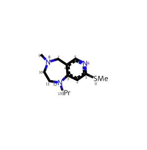 CSc1cc2c(cn1)CN(C)CCN2C(C)C